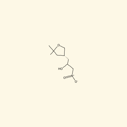 CC1(C)C[C@@H](CC(O)C[N+](=O)[O-])CO1